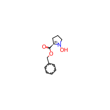 O=C(OCc1ccccc1)[C@H]1CCCN1O